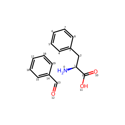 N[C@@H](Cc1ccccc1)C(=O)O.O=Cc1ccccc1